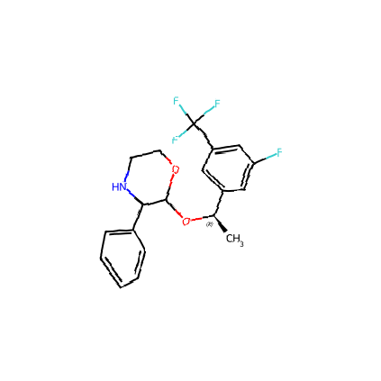 C[C@@H](OC1OCCNC1c1ccccc1)c1cc(F)cc(C(F)(F)F)c1